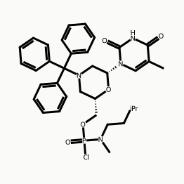 Cc1cn([C@H]2CN(C(c3ccccc3)(c3ccccc3)c3ccccc3)C[C@@H](COP(=O)(Cl)N(C)CCC(C)C)O2)c(=O)[nH]c1=O